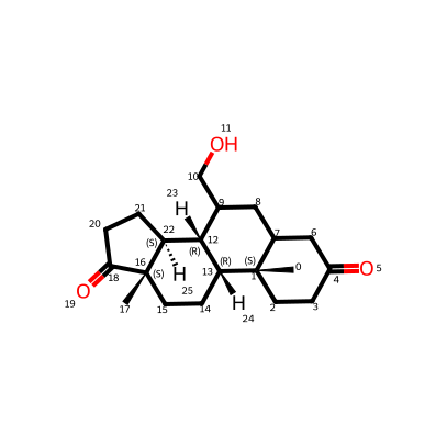 C[C@]12CCC(=O)CC1CC(CO)[C@@H]1[C@H]2CC[C@]2(C)C(=O)CC[C@@H]12